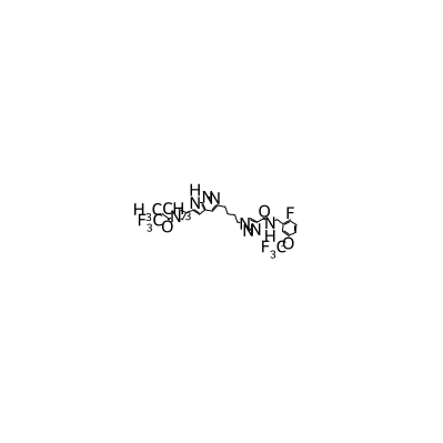 CC(C)(C(=O)N1CC(c2cc3cc(CCCCn4cc(C(=O)NCc5cc(OC(F)(F)F)ccc5F)nn4)nnc3[nH]2)C1)C(F)(F)F